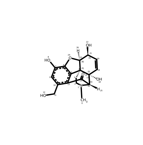 CN1CC[C@@]23c4c5c(O)cc(CO)c4C(=O)[C@@H]1[C@]2(O)C=C[C@H](O)[C@@H]3O5